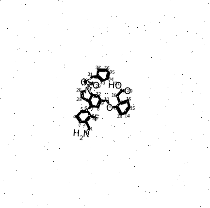 NCc1cccc(-c2cc(COc3ccccc3CC(=O)O)cc3c2ccn3S(=O)(=O)Cc2ccccc2)c1F